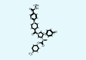 CN(C(=O)O[C@H]1CC[C@H](C(F)(F)F)CC1)[C@@H]1CN(C(=O)C2CCN(c3ccc(C(=O)NC(C)(C)C)cn3)CC2)C[C@H]1c1ccc(Cl)cc1